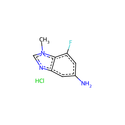 Cl.Cn1cnc2cc(N)cc(F)c21